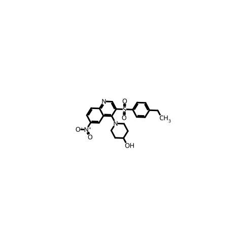 CCc1ccc(S(=O)(=O)c2cnc3ccc([N+](=O)[O-])cc3c2N2CCC(O)CC2)cc1